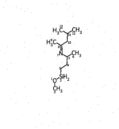 CO[SiH2]CCC(C)N=C(C)CC(C)C